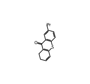 CC(C)c1ccc2sc3c(c(=O)c2c1)CCC=C3